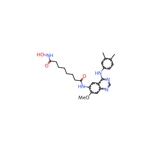 COc1cc2ncnc(Nc3ccc(C)c(C)c3)c2cc1NC(=O)CCCCCCC(=O)NO